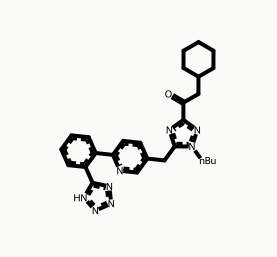 CCCCn1nc(C(=O)CC2CCCCC2)nc1Cc1ccc(-c2ccccc2-c2nnn[nH]2)nc1